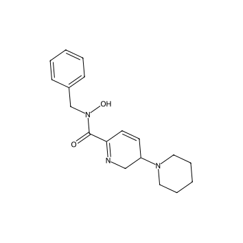 O=C(C1=NCC(N2CCCCC2)C=C1)N(O)Cc1ccccc1